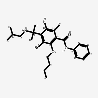 CCCCOc1c(Br)c(C(C)(C)NCC(C)C)c(F)c(C)c1C(=O)Oc1ccccc1